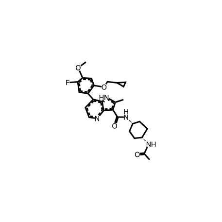 COc1cc(OCC2CC2)c(-c2ccnc3c(C(=O)N[C@H]4CC[C@@H](NC(C)=O)CC4)c(C)[nH]c23)cc1F